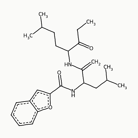 C=C(NC(CCC(C)C)C(=O)CC)C(CC(C)C)NC(=O)c1cc2ccccc2o1